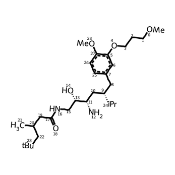 COCCCOc1cc(C[C@@H](C[C@H](N)[C@@H](O)CNC(=O)CC(C)CC(C)(C)C)C(C)C)ccc1OC